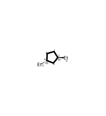 CC[C@@H]1CC[C@@H](CC)C1